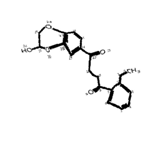 CCc1ccccc1C(=O)CCC(=O)c1ccc2c(c1)OC(O)CO2